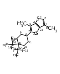 Cc1csc2c(C)c(C3CCC(C(F)(F)F)(C(F)(F)F)CC3)sc12